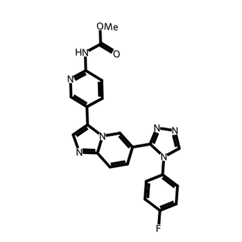 COC(=O)Nc1ccc(-c2cnc3ccc(-c4nncn4-c4ccc(F)cc4)cn23)cn1